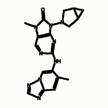 Cc1cc2ncnn2cc1Nc1ncc2c(n1)n(N1CC3CC3C1)c(=O)n2C